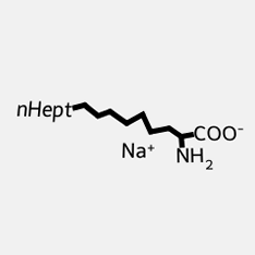 CCCCCCCCCCCCCCC(N)C(=O)[O-].[Na+]